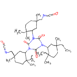 CCC1(C)CCC(C)(C)C(n2c(=O)n(C3CC(C)(CN=C=O)CCC3(C)C)c(=O)n(C3CC(C)(CN=C=O)CCC3(C)C)c2=O)C1